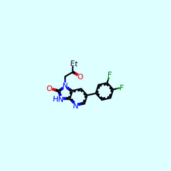 CCC(=O)Cn1c(=O)[nH]c2ncc(-c3ccc(F)c(F)c3)cc21